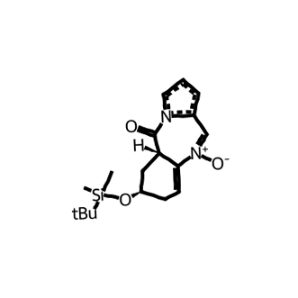 CC(C)(C)[Si](C)(C)O[C@@H]1CC=C2[C@H](C1)C(=O)n1cccc1C=[N+]2[O-]